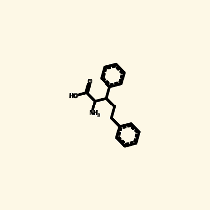 NC(C(=O)O)C(CCc1ccccc1)c1ccccc1